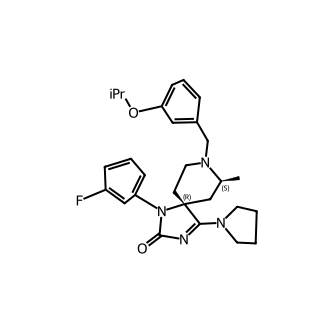 CC(C)Oc1cccc(CN2CC[C@@]3(C[C@@H]2C)C(N2CCCC2)=NC(=O)N3c2cccc(F)c2)c1